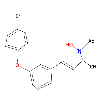 CC(=O)N(O)C(C)/C=C/c1cccc(Oc2ccc(Br)cc2)c1